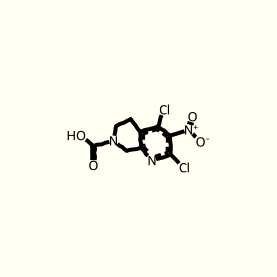 O=C(O)N1CCc2c(nc(Cl)c([N+](=O)[O-])c2Cl)C1